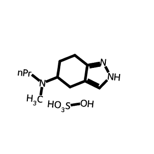 CCCN(C)C1CCc2n[nH]cc2C1.O=S(=O)(O)O